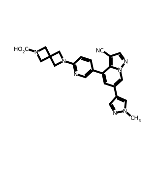 Cn1cc(-c2cc(-c3ccc(N4CC5(CN(C(=O)O)C5)C4)nc3)c3c(C#N)cnn3c2)cn1